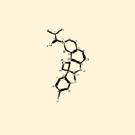 CC(C)C(=O)N1CCc2ccc(SN(C)C3(c4ccc(F)cc4)COC3)cc2C1